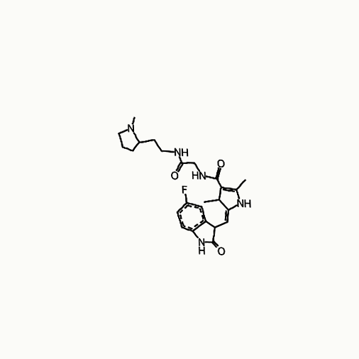 CC1=C(C(=O)NCC(=O)NCCC2CCCN2C)C(C)C(=CC2C(=O)Nc3ccc(F)cc32)N1